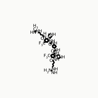 CC(=N)NCCCCC(=O)Nc1cc(C(F)(F)F)cc(NC(=O)Nc2ccc(NC(=O)Nc3cc(C(F)(F)F)cc(NC(=O)CCCCNC(=N)N)c3N3CCNCC3)cc2)c1N1CCNCC1